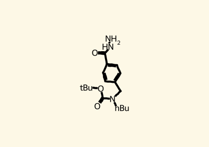 CCCCN(Cc1ccc(C(=O)NN)cc1)C(=O)OC(C)(C)C